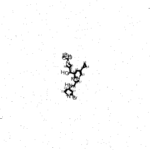 CC(C)(C)OC(=O)N1CC(C(O)c2cc(C3CC3)cn3cc(CNc4ccnc(Br)c4)nc23)C1